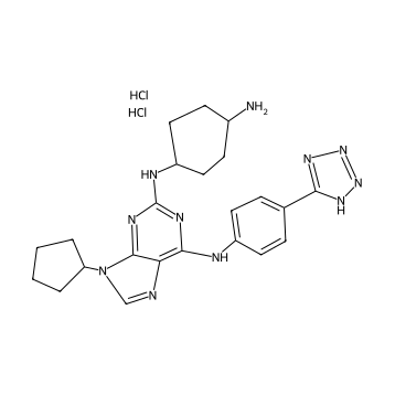 Cl.Cl.NC1CCC(Nc2nc(Nc3ccc(-c4nnn[nH]4)cc3)c3ncn(C4CCCC4)c3n2)CC1